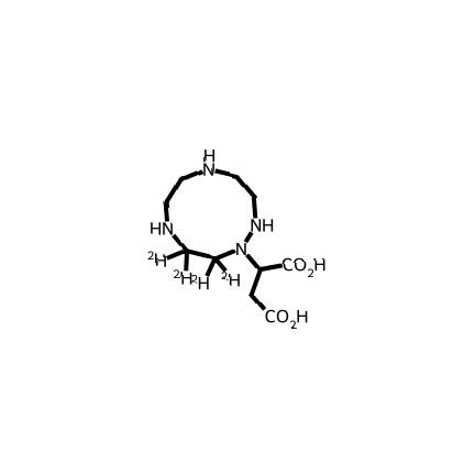 [2H]C1([2H])NCCNCCNN(C(CC(=O)O)C(=O)O)C1([2H])[2H]